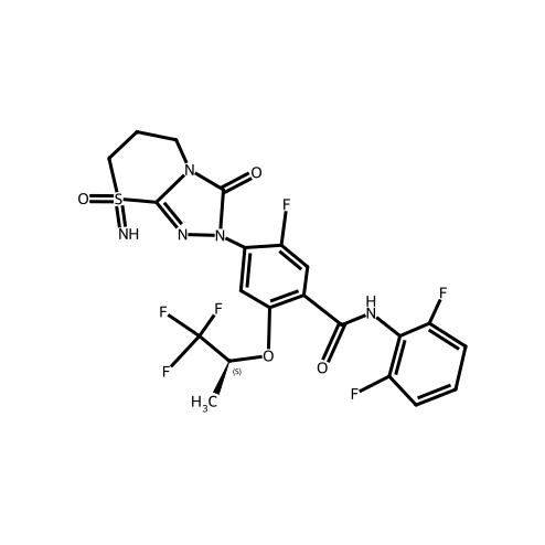 C[C@H](Oc1cc(-n2nc3n(c2=O)CCCS3(=N)=O)c(F)cc1C(=O)Nc1c(F)cccc1F)C(F)(F)F